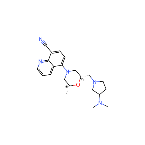 C[C@@H]1CN(c2ccc(C#N)c3ncccc23)C[C@H](CN2CCC(N(C)C)C2)O1